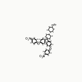 CCC[C@H]1CC[C@H](C2CCC(c3ccc(Oc4ccc([N+](=O)[O-])cc4)cc3)(c3ccc(Oc4ccc([N+](=O)[O-])cc4)cc3)CC2)CC1